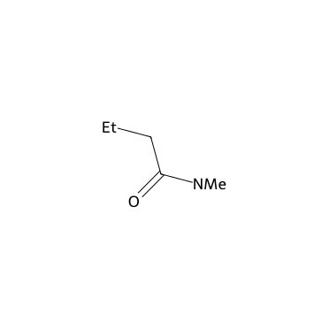 [CH2-][NH2+]C(=O)CCC